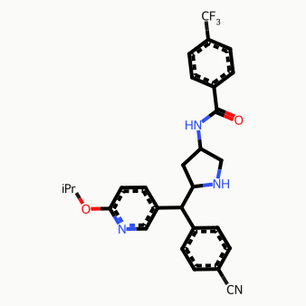 CC(C)Oc1ccc(C(c2ccc(C#N)cc2)C2CC(NC(=O)c3ccc(C(F)(F)F)cc3)CN2)cn1